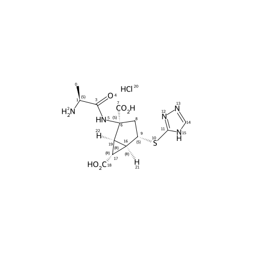 C[C@H](N)C(=O)N[C@@]1(C(=O)O)C[C@H](Sc2nnc[nH]2)[C@H]2[C@H](C(=O)O)[C@H]21.Cl